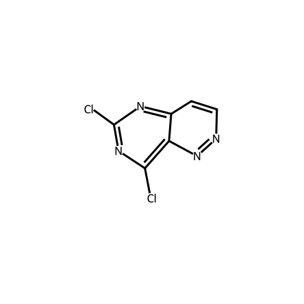 Clc1nc(Cl)c2nnccc2n1